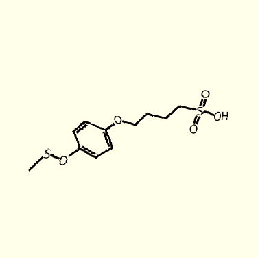 CSOc1ccc(OCCCCS(=O)(=O)O)cc1